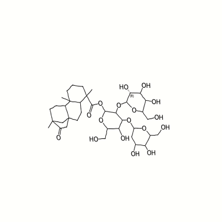 CC12CCC3C(CCC4C(C)(C(=O)OC5OC(CO)C(O)C(OC6CC(O)C(O)C(CO)O6)C5OC5OC(CO)C(O)C(O)[C@H]5O)CCCC34C)(CC1=O)C2